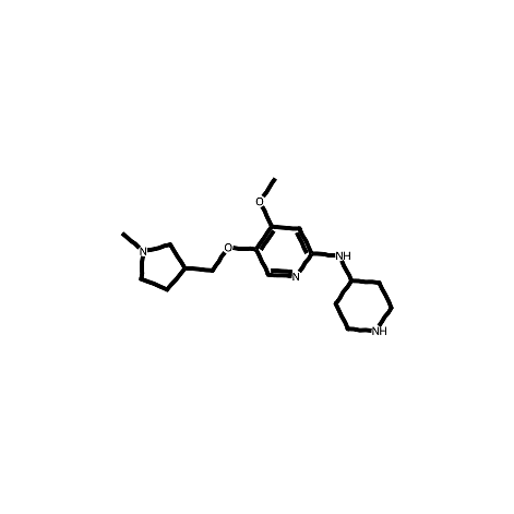 COc1cc(NC2CCNCC2)ncc1OCC1CCN(C)C1